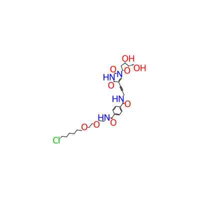 O=C(NCC#Cc1cn([C@H]2CC(O)[C@@H](CO)O2)c(=O)[nH]c1=O)c1ccc(C(=O)NCCOCCOCCCCCCCl)cc1